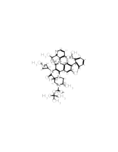 COc1cccc(F)c1-c1c(Cl)cc2c3c(c(=O)n(-c4c(C)ccnc4C(C)C)c2c1F)N(C1CN(C)C1)C(=O)[C@H]1CN(C(=O)OC(C)(C)C)[C@H](C)CN31